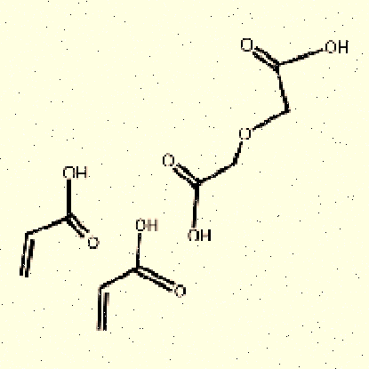 C=CC(=O)O.C=CC(=O)O.O=C(O)COCC(=O)O